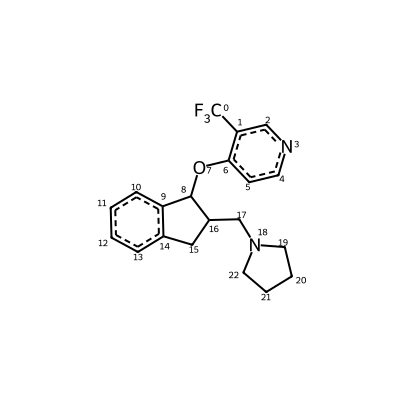 FC(F)(F)c1cnccc1OC1c2ccccc2CC1CN1CCCC1